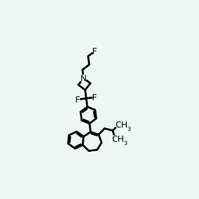 CC(C)CC1=C(c2ccc(C(F)(F)C3CN(CCCF)C3)cc2)c2ccccc2CCC1